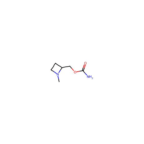 CN1CCC1COC(N)=O